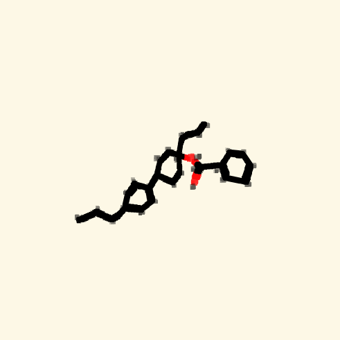 CCCc1ccc(C2CCC(CCC)(OC(=O)c3ccccc3)CC2)cc1